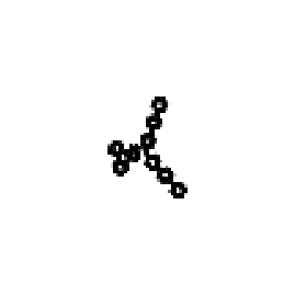 CC1(C)C(N(c2ccc(-c3ccc(-c4ccccc4)cc3)cc2)c2ccc(-c3ccc(-c4ccccc4)cc3)cc2)=Cc2c1c1ccccc1c1ccccc21